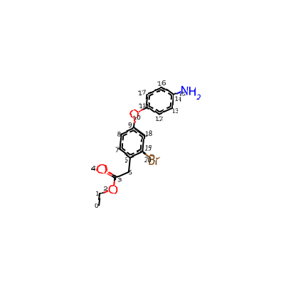 CCOC(=O)Cc1ccc(Oc2ccc(N)cc2)cc1Br